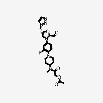 CC(=O)OCC(=O)N(C)C1CCN(c2ccc(N3C[C@H](Cn4ccnn4)OC3C=O)cc2F)CC1